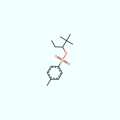 CCC(OS(=O)(=O)c1ccc(C)cc1)C(C)(C)C